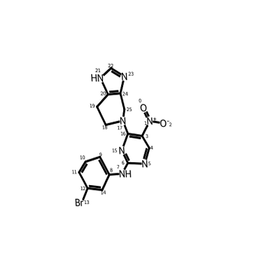 O=[N+]([O-])c1cnc(Nc2cccc(Br)c2)nc1N1CCc2[nH]cnc2C1